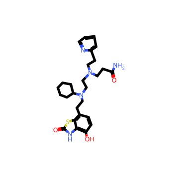 NC(=O)CCN(CCc1ccccn1)CCN(CCc1ccc(O)c2[nH]c(=O)sc12)C1CCCCC1